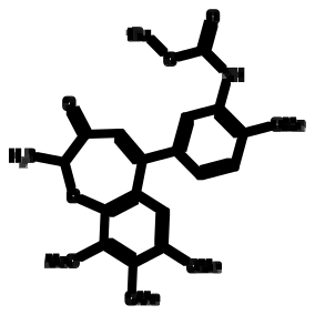 BC1Oc2c(cc(OC)c(OC)c2OC)C(c2ccc(OC)c(NC(=O)OC(C)(C)C)c2)=CC1=O